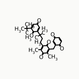 CC1=C(CCC(C)(C)C2=CC(=O)C=C(C(C)(C)C)C2=O)C(=O)C(CC2=CC(=O)C=CC2=O)=C(C)C1=O